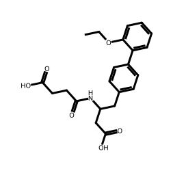 CCOc1ccccc1-c1ccc(CC(CC(=O)O)NC(=O)CCC(=O)O)cc1